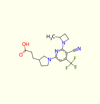 CC1CCN1c1nc(N2CCC(CCC(=O)O)C2)cc(C(F)(F)F)c1C#N